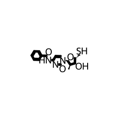 C[C@@H]1[C@H](O)[C@@H](CS)O[C@H]1n1ccc(NC(=O)c2ccccc2)nc1=O